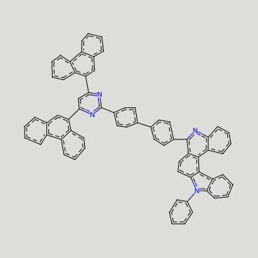 c1ccc(-n2c3ccccc3c3c4c(ccc32)c(-c2ccc(-c3ccc(-c5nc(-c6cc7ccccc7c7ccccc67)cc(-c6cc7ccccc7c7ccccc67)n5)cc3)cc2)nc2ccccc24)cc1